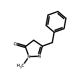 CN1N=C(Cc2ccccc2)CC1=O